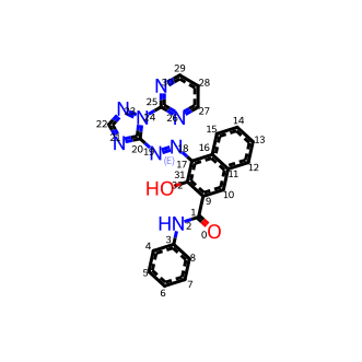 O=C(Nc1ccccc1)c1cc2ccccc2c(/N=N/c2ncnn2-c2ncccn2)c1O